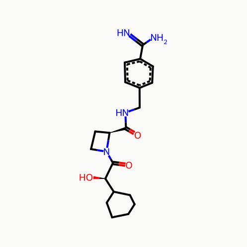 N=C(N)c1ccc(CNC(=O)[C@@H]2CCN2C(=O)[C@H](O)C2CCCCC2)cc1